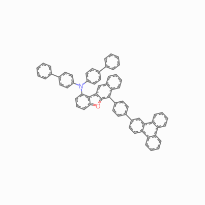 c1ccc(-c2ccc(N(c3ccc(-c4ccccc4)cc3)c3cccc4oc5c(-c6ccc(-c7ccc8c9ccccc9c9ccccc9c8c7)cc6)c6ccccc6cc5c34)cc2)cc1